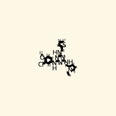 CCN1CCCC1CNc1nc(NCc2cccs2)nc(Nc2ccc(OC)c(Cl)c2)n1